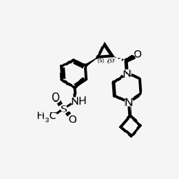 CS(=O)(=O)Nc1cccc([C@H]2C[C@@H]2C(=O)N2CCN(C3CCC3)CC2)c1